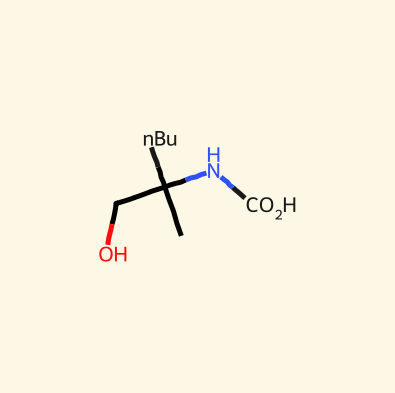 CCCCC(C)(CO)NC(=O)O